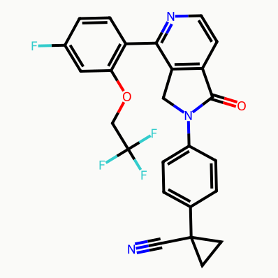 N#CC1(c2ccc(N3Cc4c(ccnc4-c4ccc(F)cc4OCC(F)(F)F)C3=O)cc2)CC1